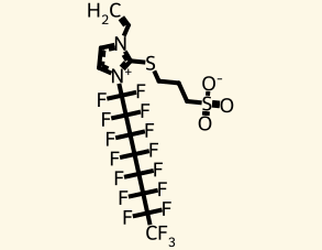 C=Cn1cc[n+](C(F)(F)C(F)(F)C(F)(F)C(F)(F)C(F)(F)C(F)(F)C(F)(F)C(F)(F)F)c1SCCCS(=O)(=O)[O-]